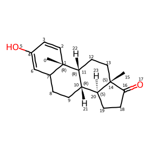 C[C@]12C=CC(O)=CC1CC[C@@H]1[C@H]2CC[C@]2(C)C(=O)CC[C@@H]12